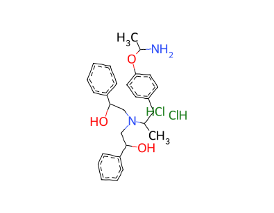 CC(N)Oc1ccc(CC(C)N(CC(O)c2ccccc2)CC(O)c2ccccc2)cc1.Cl.Cl